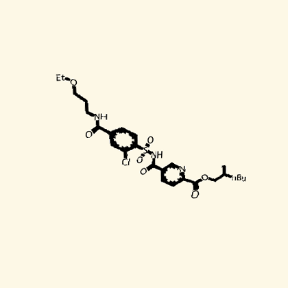 CCCCC(C)COC(=O)c1ccc(C(=O)NS(=O)(=O)c2ccc(C(=O)NCCCOCC)cc2Cl)cn1